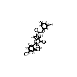 Cc1cc(C)cc(CC(=O)N2CCC2(C)C(=O)N(C)Cc2ccc(Cl)cc2Cl)c1